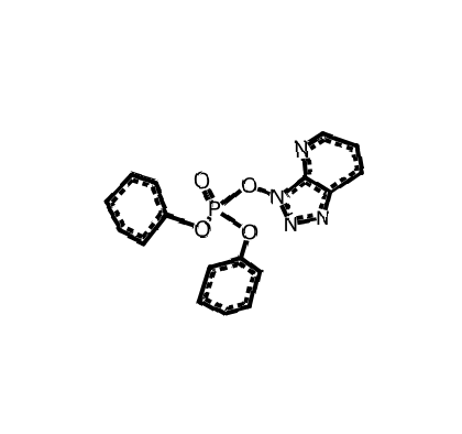 O=P(Oc1ccccc1)(Oc1ccccc1)On1nnc2cccnc21